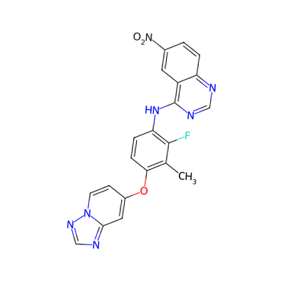 Cc1c(Oc2ccn3ncnc3c2)ccc(Nc2ncnc3ccc([N+](=O)[O-])cc23)c1F